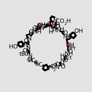 CCC1NC(=O)[C@@]2(C(C)C)C=C(N2)[C@H](Cc2ccc(O)cc2)NC(=O)[C@H](C)NC(=O)[C@](C)(CCC(=O)O)NC(=O)[C@H](Cc2c[nH]c3ncccc23)NC(=O)[C@H]([C@@H](C)O)NC(=O)[C@@H]2CCCN2C(=O)[C@H](Cc2ccc(O)cc2)NC(=O)C(C(C)(C)C)NC(=O)CCSCc2cccc(c2)CSC[C@H](C(N)=O)NC1=O